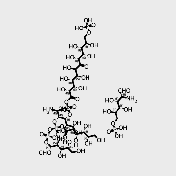 N[C@@H](C=O)[C@@H](O)[C@H](O)[C@H](O)COP(=O)(O)O.N[C@@H](C=O)[C@@H](OP(=O)(OC(=O)[C@H](O)[C@@H](O)[C@H](O)[C@H](O)CO)OP(=O)(O)O[C@@H](C=O)[C@@H](O)[C@H](O)[C@H](O)CO)[C@H](OP(=O)(O)OC(=O)[C@H](O)[C@@H](O)[C@H](O)[C@H](O)C(O)C(=O)[C@H](O)[C@@H](O)[C@H](O)[C@H](O)COP(=O)(O)O)[C@H](O)CO